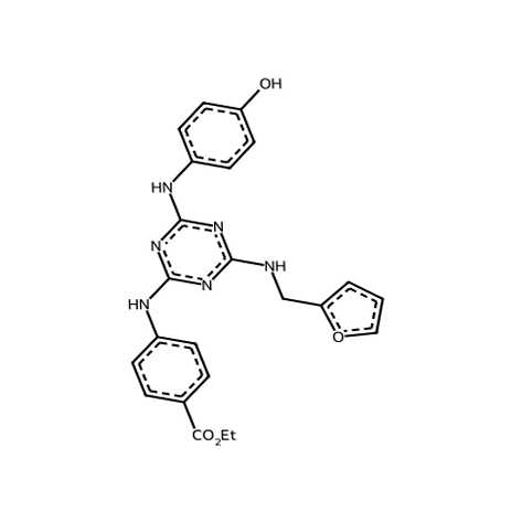 CCOC(=O)c1ccc(Nc2nc(NCc3ccco3)nc(Nc3ccc(O)cc3)n2)cc1